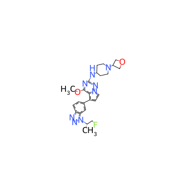 COc1nc(NC2CCN(C3COC3)CC2)nn2ccc(-c3ccc4nnn([C@@H](C)CF)c4c3)c12